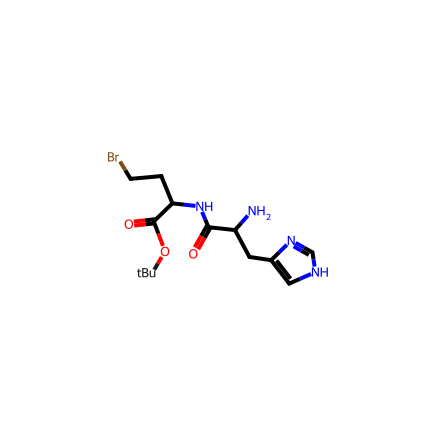 CC(C)(C)OC(=O)C(CCBr)NC(=O)C(N)Cc1c[nH]cn1